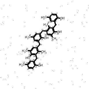 Cc1ccc(O)c(Cc2c(C)c(Cc3cc(C)cc(Cc4cc(C)c(O)c(Cc5cc(C)ccc5O)c4C)c3O)cc(C)c2O)c1